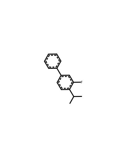 CC(C)c1ccc(-c2ccccc2)cc1F